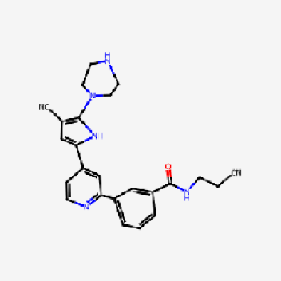 N#CCCNC(=O)c1cccc(-c2cc(-c3cc(C#N)c(N4CCNCC4)[nH]3)ccn2)c1